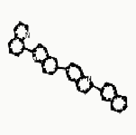 c1ccc2cc(-c3ccc4cc(-c5ccc6nc(-c7cccc8cccnc78)ccc6c5)ccc4n3)ccc2c1